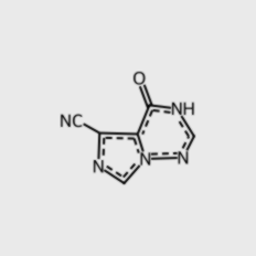 N#Cc1ncn2nc[nH]c(=O)c12